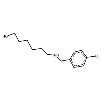 OCCCCCCNSc1ccc(Cl)cc1